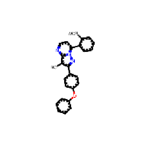 CNc1ccccc1-c1ccnc2c(C#N)c(-c3ccc(Oc4ccccc4)cc3)nn12